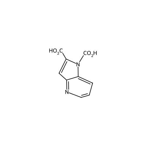 O=C(O)c1cc2ncccc2n1C(=O)O